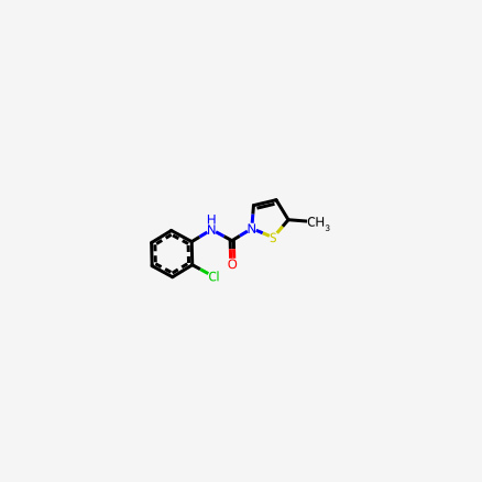 CC1C=CN(C(=O)Nc2ccccc2Cl)S1